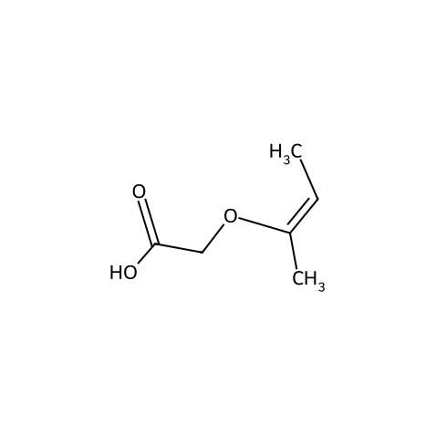 CC=C(C)OCC(=O)O